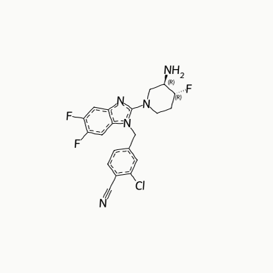 N#Cc1ccc(Cn2c(N3CC[C@@H](F)[C@H](N)C3)nc3cc(F)c(F)cc32)cc1Cl